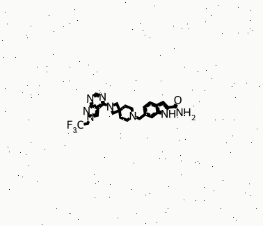 NC(=O)c1cc2ccc(CN3CCC4(CC3)CN(c3ncnc5nn(CC(F)(F)F)cc35)C4)cc2[nH]1